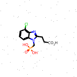 O=C(O)CCc1nc2c(Cl)cccc2n1CP(=O)(O)O